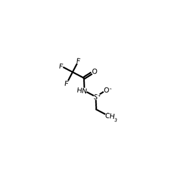 CC[S+]([O-])NC(=O)C(F)(F)F